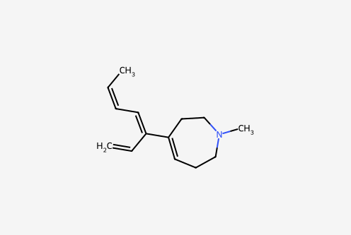 C=C/C(=C\C=C/C)C1=CCCN(C)CC1